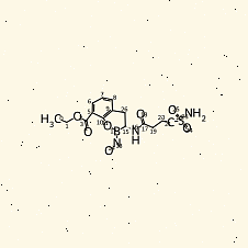 CCOC(=O)c1cccc2c1OB(N=O)[C@@H](NC(=O)CCCS(N)(=O)=O)C2